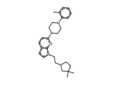 Cc1ccccc1N1CCN(c2ccc3ccn(CCN4CCC(C)(C)C4)c3n2)CC1